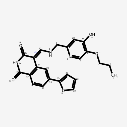 CCCOc1cnc(CN/C=C2/C(=O)NC(=O)c3ccc(-c4ccco4)cc32)cc1O